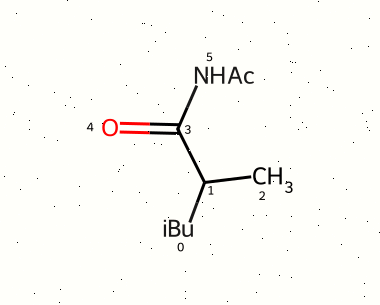 CCC(C)C(C)C(=O)NC(C)=O